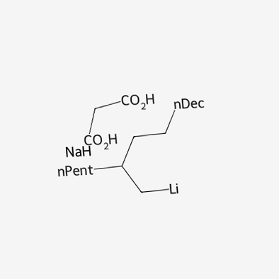 O=C(O)CC(=O)O.[Li][CH2]C(CCCCC)CCCCCCCCCCCC.[NaH]